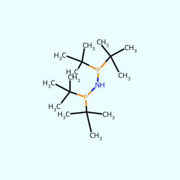 CC(C)(C)P(NP(C(C)(C)C)C(C)(C)C)C(C)(C)C